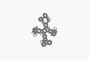 CC12CCC(C)(CC1)c1cc3c4c5c6cc7c(cc6n6c8cc9c(cc8c(c8c%10cc%11c(cc%10n(c3cc1C2=O)c48)COCc1ccccc1-c1ccccc1C%11)c56)C1(C)CCC(C)(CC1)C9=O)C(=O)C1(C7)c2ccccc2-c2ccccc21